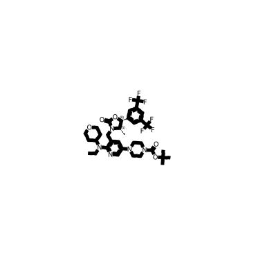 CCN(c1ncc(N2CCN(C(=O)OC(C)(C)C)CC2)cc1CN1C(=O)O[C@H](c2cc(C(F)(F)F)cc(C(F)(F)F)c2)[C@@H]1C)C1CCOCC1